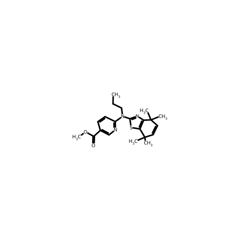 CCCN(c1ccc(C(=O)OC)cn1)c1nc2c(s1)C(C)(C)C=CC2(C)C